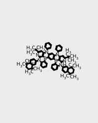 CC(C)(C)c1cc2c3c(n1)N(c1ccc4c(c1)C(C)(C)CCC4(C)C)c1ccccc1B3c1cc3c(cc1N2c1ccccc1)N(c1ccccc1)c1cc(C(C)(C)C)nc2c1B3c1ccccc1N2c1ccc2c(c1)C(C)(C)CCC2(C)C